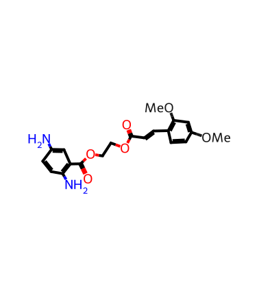 COc1ccc(/C=C/C(=O)OCCOC(=O)c2cc(N)ccc2N)c(OC)c1